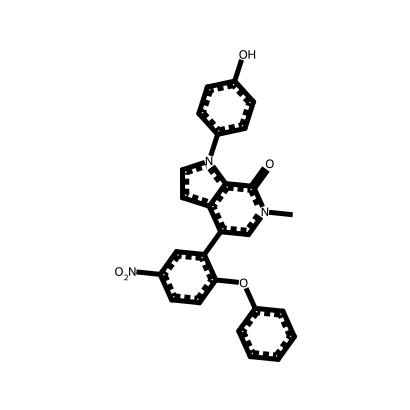 Cn1cc(-c2cc([N+](=O)[O-])ccc2Oc2ccccc2)c2ccn(-c3ccc(O)cc3)c2c1=O